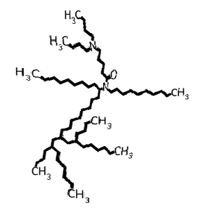 CCCCCCCCCCN(C(=O)CCCCN(CCCC)CCCC)C(CCCCCCCCC)CCCCCCCCC(CC(CCCC)CCCCCC)CC(CCCC)CCCCCC